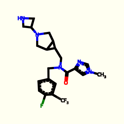 Cn1cnc(C(=O)N(Cc2ccc(F)c(C(F)(F)F)c2)CC2C3CN(C4CNC4)CC23)c1